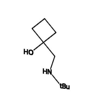 CC(C)(C)NCC1(O)CCC1